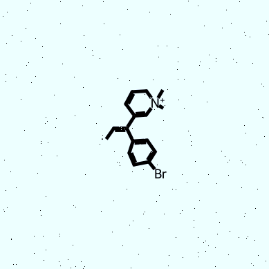 [CH2]C=C(C1=C[N+](C)(C)CC=C1)c1ccc(Br)cc1